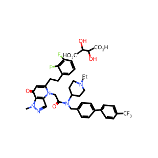 CCN1CCC(N(Cc2ccc(-c3ccc(C(F)(F)F)cc3)cc2)C(=O)Cn2c(CCc3cccc(F)c3F)cc(=O)c3c2cnn3C)CC1.O=C(O)C(O)C(O)C(=O)O